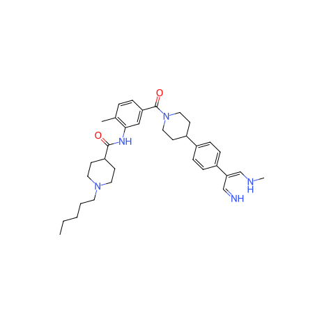 CCCCCN1CCC(C(=O)Nc2cc(C(=O)N3CCC(c4ccc(/C(C=N)=C/NC)cc4)CC3)ccc2C)CC1